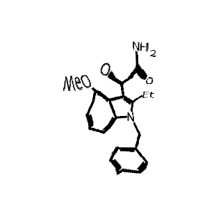 CCc1c(C(=O)C(N)=O)c2c(OC)cccc2n1Cc1ccccc1